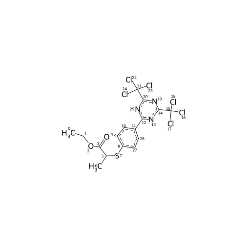 CCOC(=O)C(C)Sc1ccc(-c2nc(C(Cl)(Cl)Cl)nc(C(Cl)(Cl)Cl)n2)cc1